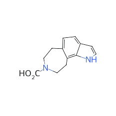 O=C(O)N1CCc2ccc3cc[nH]c3c2CC1